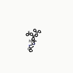 C#Cc1c(/C=C\CC(=C)/C=C\c2[nH]c3ccc(N(c4cccc(N(c5ccccc5)C5CC=CCC5)c4)c4ccc5sc6ccccc6c5c4)cc3c2C)oc2c#cccc12